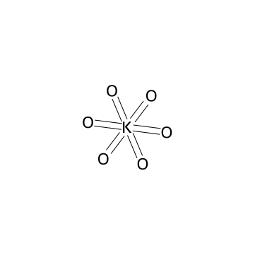 [O]=[K](=[O])(=[O])(=[O])(=[O])=[O]